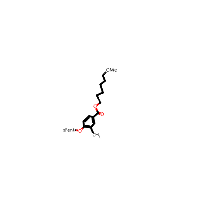 CCCCCOc1ccc(C(=O)OCCCCCCOC)cc1C